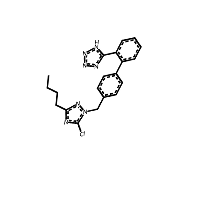 CCCCc1nc(Cl)n(Cc2ccc(-c3ccccc3-c3nnn[nH]3)cc2)n1